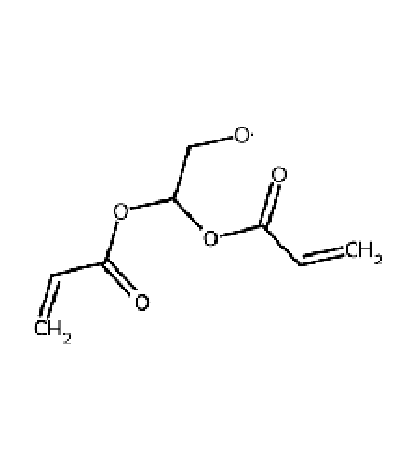 C=CC(=O)OC(C[O])OC(=O)C=C